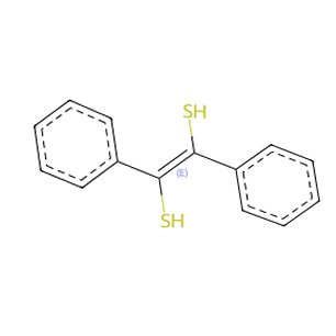 S/C(=C(/S)c1ccccc1)c1ccccc1